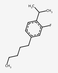 CCCCCc1ccc(C(C)C)c(F)c1